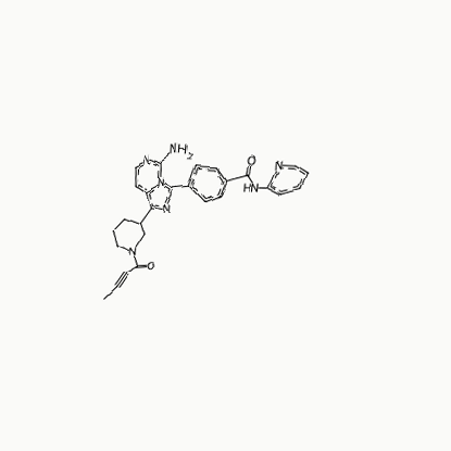 CC#CC(=O)N1CCCC(c2nc(-c3ccc(C(=O)Nc4ccccn4)cc3)n3c(N)nccc23)C1